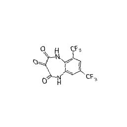 O=c1[nH]c2cc(C(F)(F)F)cc(C(F)(F)F)c2[nH]c(=O)c1=O